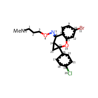 CNCCCON=C1c2ccc(Br)cc2OC2(c3ccc(Cl)cc3)CC12